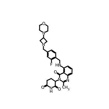 Cc1nc2cccc(NCc3ccc(CN4CC(N5CCOCC5)C4)cc3F)c2c(=O)n1C1CCC(=O)NC1=O